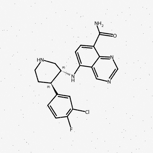 NC(=O)c1ccc(N[C@H]2CNCC[C@@H]2c2ccc(F)c(Cl)c2)c2cncnc12